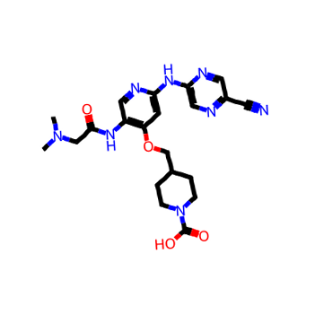 CN(C)CC(=O)Nc1cnc(Nc2cnc(C#N)cn2)cc1OCC1CCN(C(=O)O)CC1